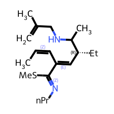 C=C(C)CNC(C)[C@@H](/C=C(\C=C/C)C(=N/CCC)/SC)CC